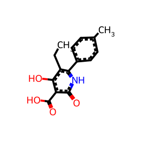 CCc1c(-c2ccc(C)cc2)[nH]c(=O)c(C(=O)O)c1O